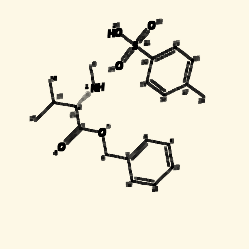 CN[C@H](C(=O)OCc1ccccc1)C(C)C.Cc1ccc(S(=O)(=O)O)cc1